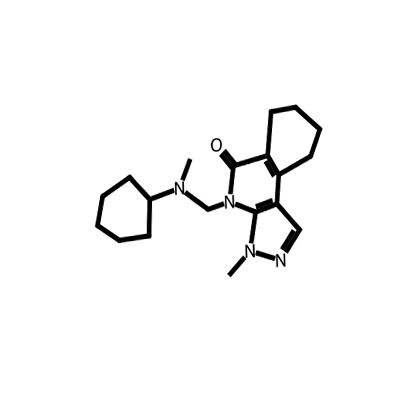 CN(Cn1c(=O)c2c(c3cnn(C)c31)CCCC2)C1CCCCC1